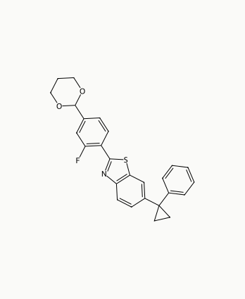 Fc1cc(C2OCCCO2)ccc1-c1nc2ccc(C3(c4ccccc4)CC3)cc2s1